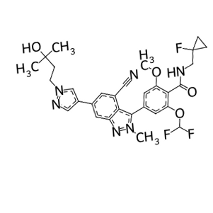 COc1cc(-c2c3c(C#N)cc(-c4cnn(CCC(C)(C)O)c4)cc3nn2C)cc(OC(F)F)c1C(=O)NCC1(F)CC1